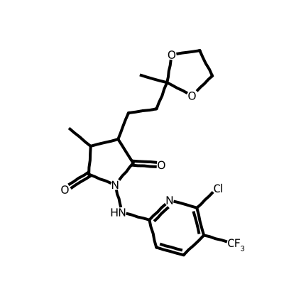 CC1C(=O)N(Nc2ccc(C(F)(F)F)c(Cl)n2)C(=O)C1CCC1(C)OCCO1